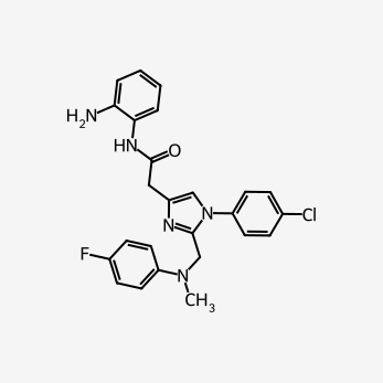 CN(Cc1nc(CC(=O)Nc2ccccc2N)cn1-c1ccc(Cl)cc1)c1ccc(F)cc1